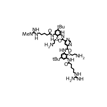 CNC(=N)NCCCCC(=O)Nc1cc(C(C)(C)C)cc(NC(=O)c2cc(C(=O)Nc3cc(C(C)(C)C)cc(NC(=O)CCCCNC(=N)N)c3SCCN)ncn2)c1SCCN